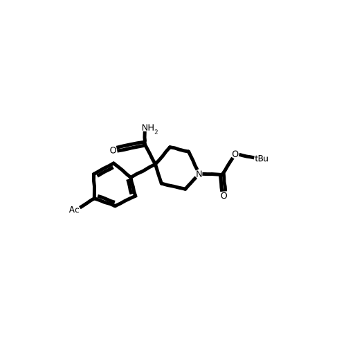 CC(=O)c1ccc(C2(C(N)=O)CCN(C(=O)OC(C)(C)C)CC2)cc1